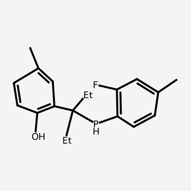 CCC(CC)(Pc1ccc(C)cc1F)c1cc(C)ccc1O